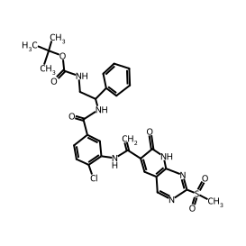 C=C(Nc1cc(C(=O)NC(CNC(=O)OC(C)(C)C)c2ccccc2)ccc1Cl)c1cc2cnc(S(C)(=O)=O)nc2[nH]c1=O